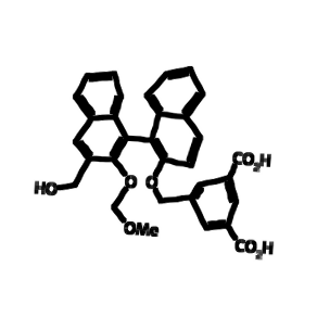 COCOc1c(CO)cc2ccccc2c1-c1c(OCc2cc(C(=O)O)cc(C(=O)O)c2)ccc2ccccc12